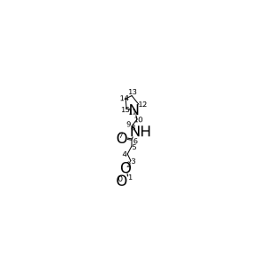 O=COCCCC(=O)NCCN1CCCC1